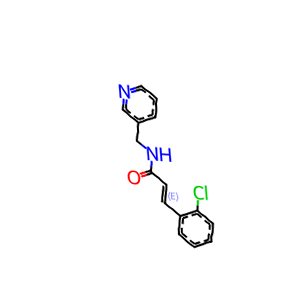 O=C(/C=C/c1ccccc1Cl)NCc1cccnc1